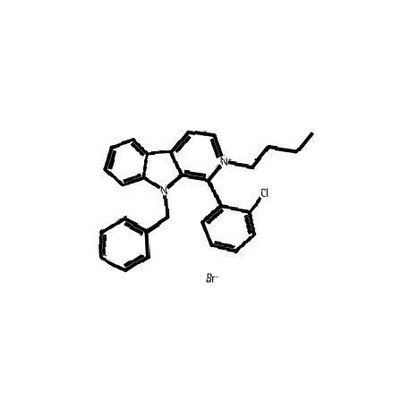 CCCC[n+]1ccc2c3ccccc3n(Cc3ccccc3)c2c1-c1ccccc1Cl.[Br-]